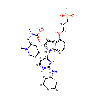 CN(CC1CCCCN1C)C(=O)O.CS(=O)(=O)CCCOc1cccc2c1ccn2-c1ccnc(NC2CCCCC2)n1